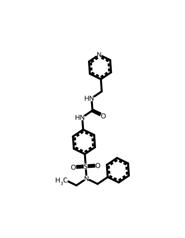 CCN(Cc1ccccc1)S(=O)(=O)c1ccc(NC(=O)NCc2ccncc2)cc1